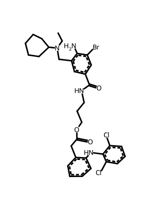 CCN(Cc1cc(C(=O)NCCCOC(=O)Cc2ccccc2Nc2c(Cl)cccc2Cl)cc(Br)c1N)C1CCCCC1